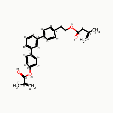 C=C(C)CC(=O)OCCc1ccc(-c2cccc(-c3ccc(OC(=O)C(=C)C)cc3)c2)cc1